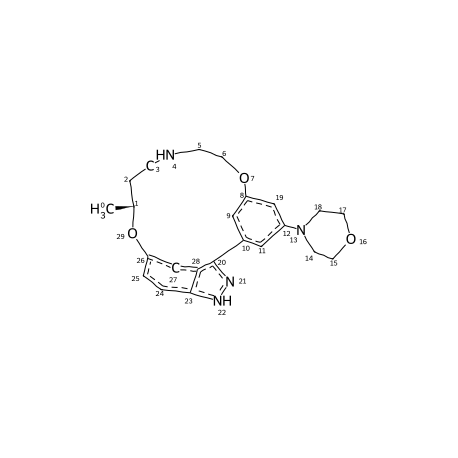 C[C@H]1CCNCCOc2cc(cc(N3CCOCC3)c2)-c2n[nH]c3ccc(cc23)O1